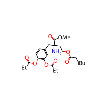 CCC(=O)Oc1ccc(C[C@](N)(CCOC(=O)CC(C)CC)C(=O)OC)cc1OC(=O)CC